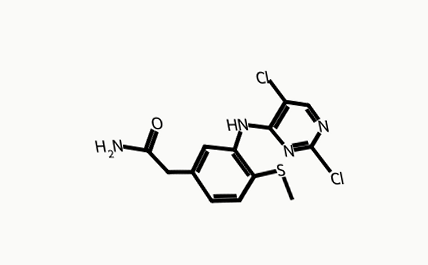 CSc1ccc(CC(N)=O)cc1Nc1nc(Cl)ncc1Cl